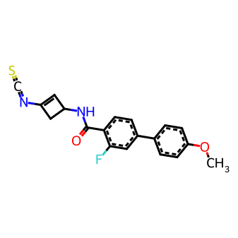 COc1ccc(-c2ccc(C(=O)NC3C=C(N=C=S)C3)c(F)c2)cc1